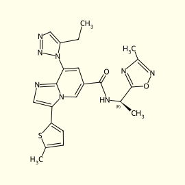 CCc1cnnn1-c1cc(C(=O)N[C@H](C)c2nc(C)no2)cn2c(-c3ccc(C)s3)cnc12